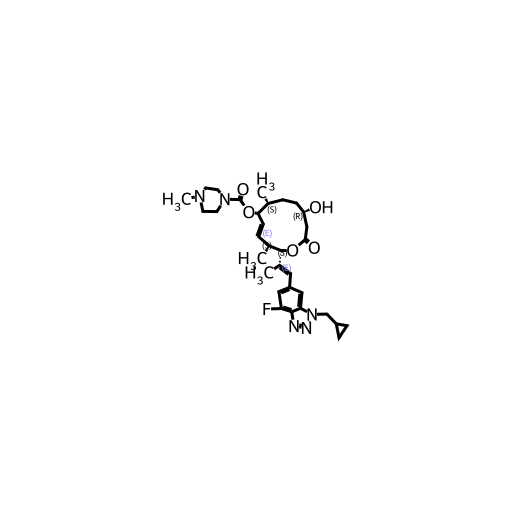 C/C(=C\c1cc(F)c2nnn(CC3CC3)c2c1)[C@H]1OC(=O)C[C@H](O)CC[C@H](C)C(OC(=O)N2CCN(C)CC2)/C=C/[C@@H]1C